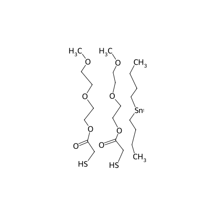 CCC[CH2][Sn][CH2]CCC.COCCOCCOC(=O)CS.COCCOCCOC(=O)CS